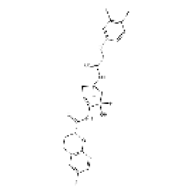 O=C(COc1ccc(Cl)c(F)c1)NC12CC(=C(NC(=O)[C@H]3CCc4cc(F)ccc4O3)[C@@H](O)C1)C2